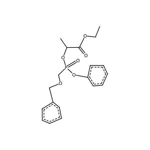 CCOC(=O)C(C)OP(=O)(COCc1ccccc1)Oc1ccccc1